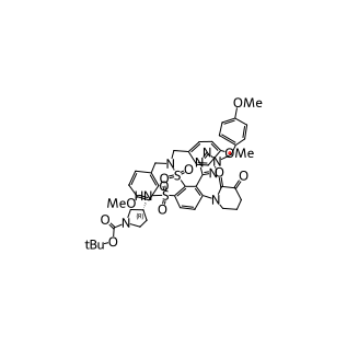 COc1ccc(CN(Cc2ccc(OC)cc2)S(=O)(=O)c2c(S(=O)(=O)N[C@@H]3CCN(C(=O)OC(C)(C)C)C3)ccc(N3CCCC(=O)C3=O)c2-c2nnn(Cc3ccc(OC)cc3)n2)cc1